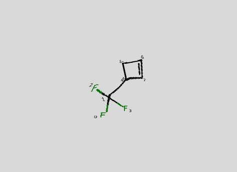 FC(F)(F)C1[CH]C=C1